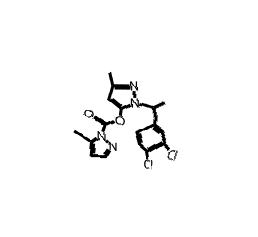 Cc1cc(OC(=O)n2nccc2C)n(C(C)c2ccc(Cl)c(Cl)c2)n1